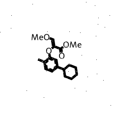 CO/C=C(\Oc1cc(C2CCCCC2)ccc1C)C(=O)OC